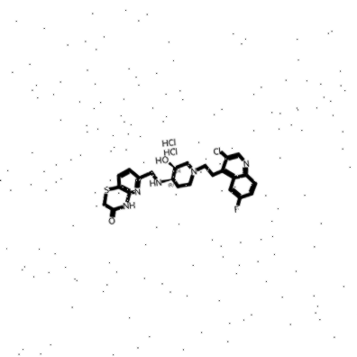 Cl.Cl.O=C1CSc2ccc(CN[C@@H]3CCN(CCc4c(Cl)cnc5ccc(F)cc45)C[C@@H]3O)nc2N1